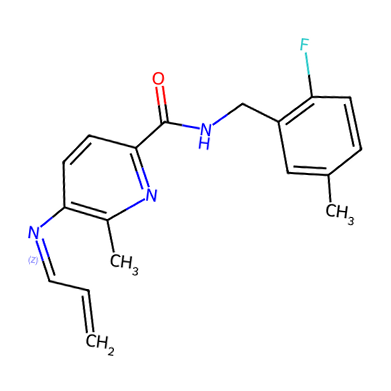 C=C/C=N\c1ccc(C(=O)NCc2cc(C)ccc2F)nc1C